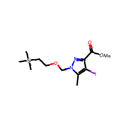 COC(=O)c1nn(COCC[Si](C)(C)C)c(C)c1I